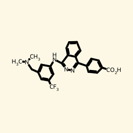 CN(C)Cc1cc(Nc2nnc(-c3ccc(C(=O)O)cc3)c3ccccc23)cc(C(F)(F)F)c1